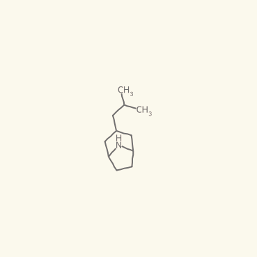 CC(C)CC1CC2CCC(C1)N2